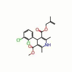 C=C(C)COC(=O)C1=C(C)NC(C)=C(C(=O)OC)C1c1cccc(Cl)c1Cl